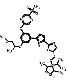 COC[C@H](C)Oc1cc(Oc2cnc(S(C)(=O)=O)cn2)cc(-c2ccc(C3=NC[C@H](CO[Si](C(C)C)(C(C)C)C(C)C)O3)[nH]2)c1